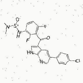 CN(C)[S+]([O-])Nc1ccc(F)c(C(=O)c2c[nH]c3ncc(-c4ccc(Cl)cc4)cc23)c1F